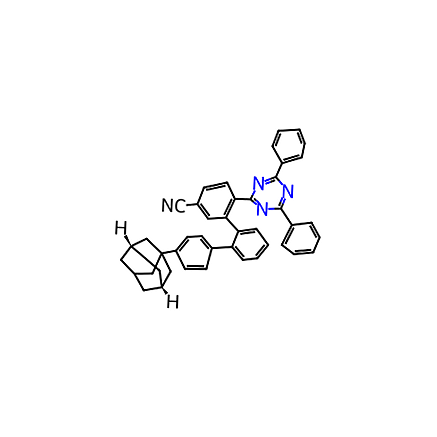 N#Cc1ccc(-c2nc(-c3ccccc3)nc(-c3ccccc3)n2)c(-c2ccccc2-c2ccc(C34CC5C[C@H](C3)C[C@@H](C5)C4)cc2)c1